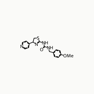 COc1ccc(CNC(=O)NC2=NC(c3ccncc3)CS2)cc1